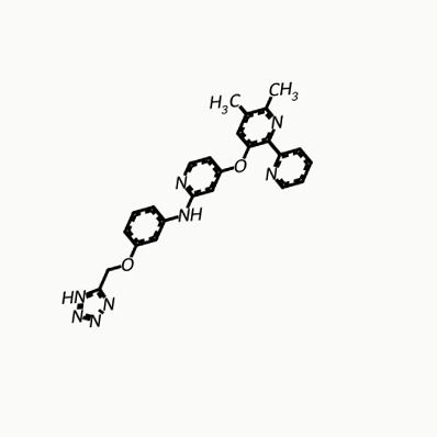 Cc1cc(Oc2ccnc(Nc3cccc(OCc4nnn[nH]4)c3)c2)c(-c2ccccn2)nc1C